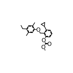 CCc1cc(C)c(OCc2c(OC(=O)OC)cccc2C2CC2)cc1C